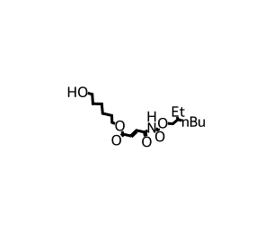 CCCCC(CC)COC(=O)NC(=O)C=CC(=O)OCCCCCCO